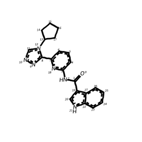 O=C(Nc1cccc(-c2nncn2C2CCCC2)n1)c1c[nH]c2ccccc12